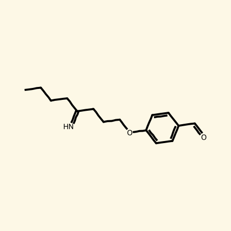 CCCCC(=N)CCCOc1ccc(C=O)cc1